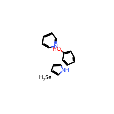 Oc1ccccc1.[SeH2].c1cc[nH]c1.c1ccncc1